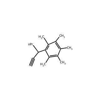 [C]#CC(CCC)c1c(C)c(C)c(C)c(C)c1C